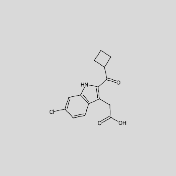 O=C(O)Cc1c(C(=O)C2CCC2)[nH]c2cc(Cl)ccc12